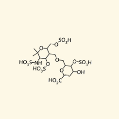 CC1(C)OC(COS(=O)(=O)O)C(COCC2OC(C(=O)O)=CC(O)C2OS(=O)(=O)O)C(OS(=O)(=O)O)C1NS(=O)(=O)O